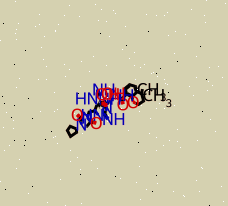 CC1(C)CCOc2c(C(=O)NC3CN4C(=N)NC(CN5C(=O)CN(C6CCCC6)C5=O)C5NC(=N)N[C@@]54C3(O)O)cccc21